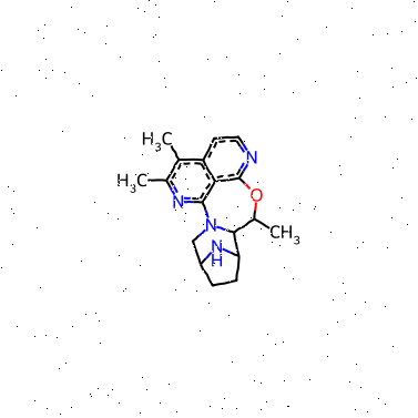 Cc1nc2c3c(nccc3c1C)OC(C)C1C3CCC(CN21)N3